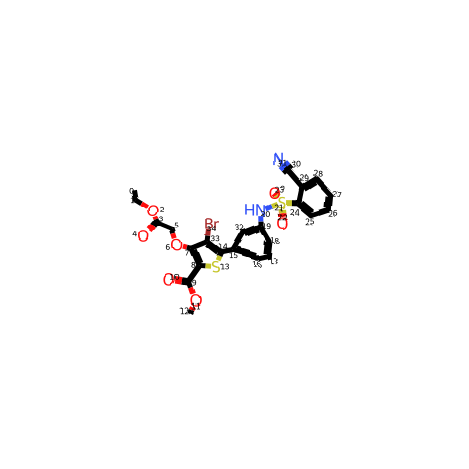 CCOC(=O)COc1c(C(=O)OC)sc(-c2cccc(NS(=O)(=O)c3ccccc3C#N)c2)c1Br